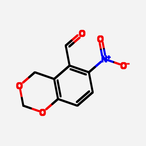 O=Cc1c([N+](=O)[O-])ccc2c1COCO2